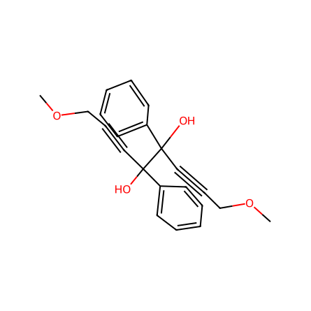 COCC#CC(O)(c1ccccc1)C(O)(C#CCOC)c1ccccc1